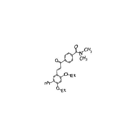 CCCc1cc(C=CC(=O)c2ccc(C(=O)N(C)C)cc2)c(OCC)cc1OCC